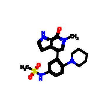 Cn1cc(-c2cc(NS(C)(=O)=O)ccc2N2CCCCC2)c2cc[nH]c2c1=O